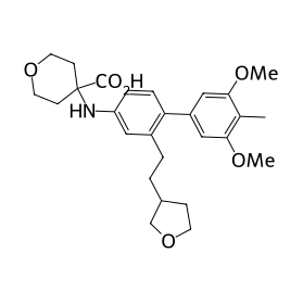 COc1cc(-c2ccc(NC3(C(=O)O)CCOCC3)cc2CCC2CCOC2)cc(OC)c1C